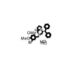 COc1cc(OC)c(CN2C[C@@H]3CCCN3[C@H](C(c3ccccc3)c3ccccc3)C2)cc1Br.Cl.Cl